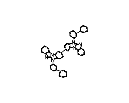 c1ccc(-c2cccc(-n3c4ccc(-c5ccc6c(c5)n5c7ccccc7nc5n6-c5cccc(-c6ccccc6)c5)cc4n4c5ccccc5nc34)c2)cc1